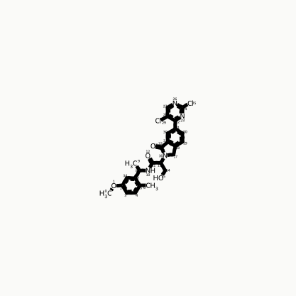 COc1ccc(C)c(C(C)NC(=O)C(CO)N2Cc3ccc(-c4nc(Cl)ncc4Cl)cc3C2=O)c1